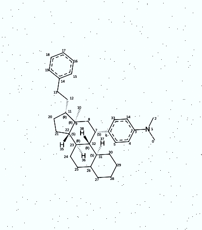 CN(C)c1ccc([C@H]2C[C@]3(C)[C@@H](CCc4ccccc4)CC[C@H]3[C@@H]3CCC4CCCC[C@@H]4[C@H]32)cc1